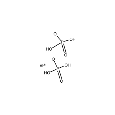 O=P([O-])(O)O.O=P([O-])(O)O.[Al+2]